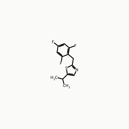 CC(C)c1cnc(Cc2c(F)cc(F)cc2F)s1